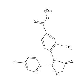 CCCCCCCCOC(=O)c1ccc(N2C(=O)CSC2c2ccc(F)cc2)c(C)c1